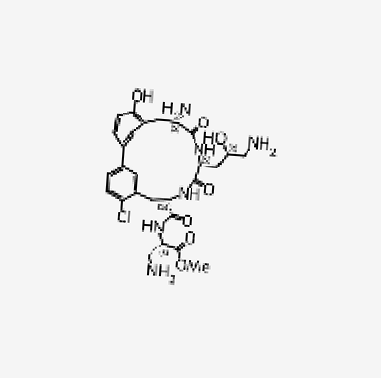 COC(=O)[C@H](CN)NC(=O)[C@@H]1Cc2cc(ccc2Cl)-c2ccc(O)c(c2)C[C@H](N)C(=O)N[C@@H](C[C@@H](O)CN)C(=O)N1